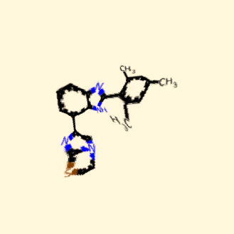 Cc1cc(C)c(-c2nc3cccc(-c4cn5ccsc5n4)c3[nH]2)c(C)c1